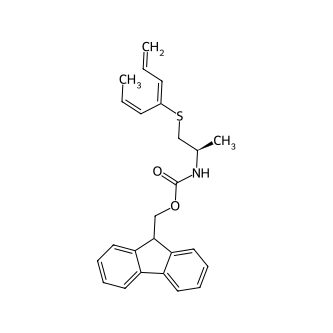 C=C/C=C(\C=C/C)SC[C@@H](C)NC(=O)OCC1c2ccccc2-c2ccccc21